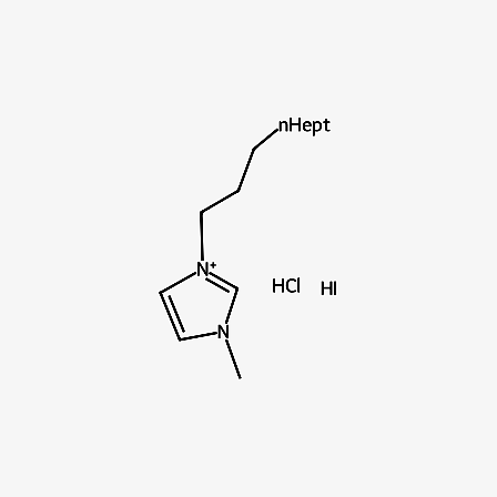 CCCCCCCCCC[n+]1ccn(C)c1.Cl.I